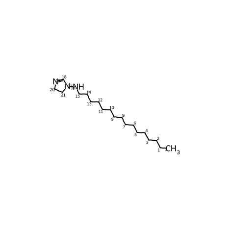 CCCCCCCCCCCCCCCCNN1C=NCC1